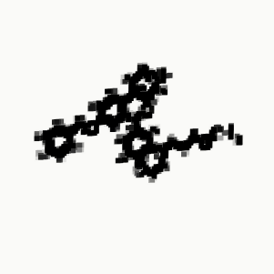 COCCCN1CCOc2ccc(COC3CNCCC3c3ccc(OCc4ccccc4)cc3)cc21